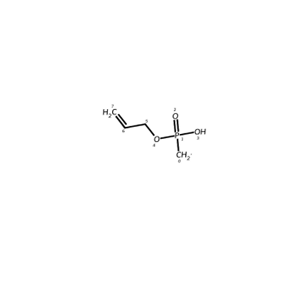 [CH2]P(=O)(O)OCC=C